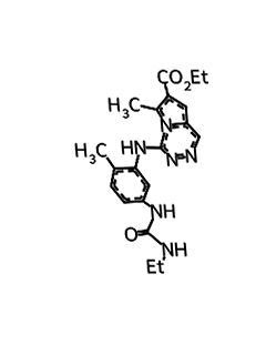 CCNC(=O)Nc1ccc(C)c(Nc2nncc3cc(C(=O)OCC)c(C)n23)c1